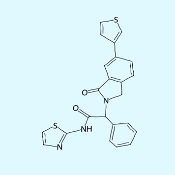 O=C(Nc1nccs1)C(c1ccccc1)N1Cc2ccc(-c3ccsc3)cc2C1=O